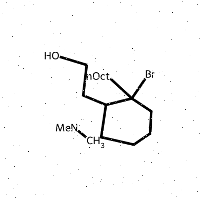 CCCCCCCCC1(Br)CCCCC1CCO.CNC